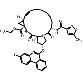 CCOC(=O)[C@@]12C[C@H]1C=CCCCCC[C@H](NC(=O)c1cc(C)on1)C(=O)N1C[C@H](Oc3nc4cc(F)ccc4c4ccccc34)C[C@H]1C(=O)N2